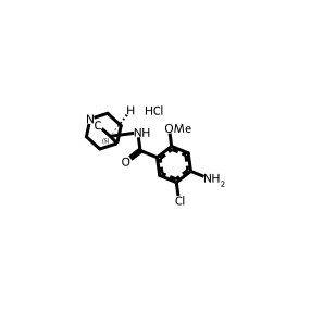 COc1cc(N)c(Cl)cc1C(=O)N[C@@H]1CN2CCC1CC2.Cl